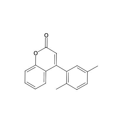 Cc1ccc(C)c(-c2cc(=O)oc3ccccc23)c1